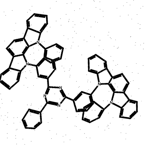 c1ccc(-c2nc(-c3cccc(-n4c5ccccc5c5ccc6c7ccccc7n(-c7ccccc7)c6c54)c3)nc(-c3cccc(-n4c5ccccc5c5ccc6c7ccccc7n(-c7ccccc7)c6c54)c3)n2)cc1